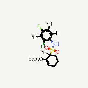 [2H]c1c([2H])c(NS(=O)(=O)[C@]2([2H])CCCC=C2C(=O)OCC)c(Cl)c([2H])c1F